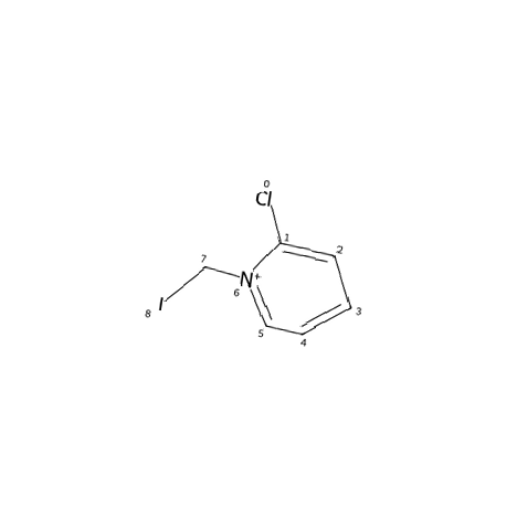 Clc1cccc[n+]1CI